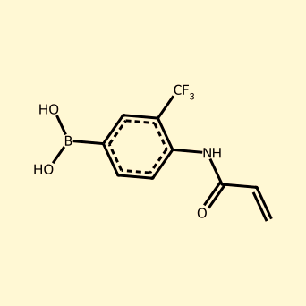 C=CC(=O)Nc1ccc(B(O)O)cc1C(F)(F)F